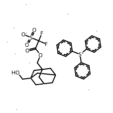 O=C(OCC12CC3CC(CC(CO)(C3)C1)C2)C(F)(F)S(=O)(=O)[O-].c1ccc([S+](c2ccccc2)c2ccccc2)cc1